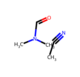 CC#N.CN(C)C=O